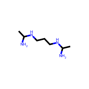 CC(N)NCCCNC(C)N